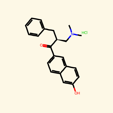 CN(C)C[C@H](Cc1ccccc1)C(=O)c1ccc2cc(O)ccc2c1.Cl